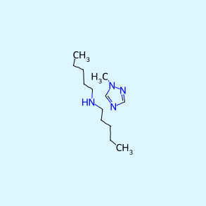 CCCCCNCCCCC.Cn1cncn1